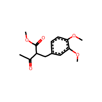 COC(=O)C(Cc1ccc(OC)c(OC)c1)C(C)=O